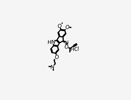 C#CC(C)O/N=C1/c2cc(OC)c(OC)cc2-c2[nH]c3ccc(OCCN(C)C)cc3c21.Cl